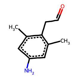 Cc1cc(N)cc(C)c1CC=O